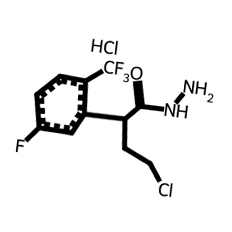 Cl.NNC(=O)C(CCCl)c1cc(F)ccc1C(F)(F)F